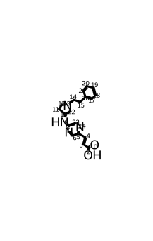 O=C(O)/C=C/c1cnc(NC2CCN(CCc3ccccc3)C2)cn1